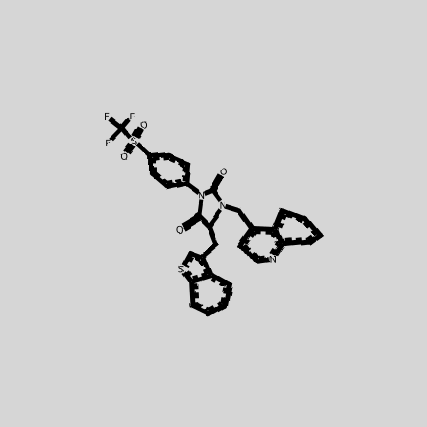 O=C1C(Cc2csc3ccccc23)N(Cc2ccnc3ccccc23)C(=O)N1c1ccc(S(=O)(=O)C(F)(F)F)cc1